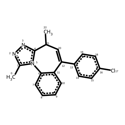 Cc1nnc2n1-c1ccccc1C(c1ccc(Cl)cc1)=CC2C